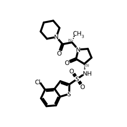 C[C@@H](C(=O)N1CCCCC1)N1CC[C@H](NS(=O)(=O)c2cc3c(Cl)cccc3s2)C1=O